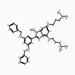 CCCCn1c(-c2cc(OCc3ccccc3)cc(OCc3ccccc3)c2)nc2c(OCCCN(CC)CC)cc(OCCCN(CC)CC)cc21